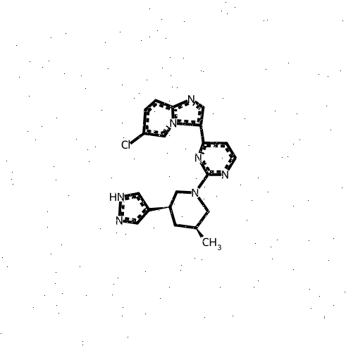 C[C@H]1C[C@@H](c2cn[nH]c2)CN(c2nccc(-c3cnc4ccc(Cl)cn34)n2)C1